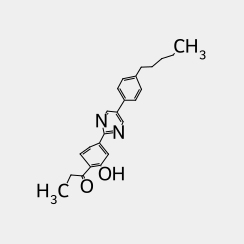 CCCCCc1ccc(-c2cnc(-c3ccc(C(=O)CC)c(O)c3)nc2)cc1